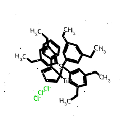 CCc1cc(CC)cc([Si](c2cc(CC)cc(CC)c2)(c2cc(CC)cc(CC)c2)[C]2([Ti+3])C=CC=C2c2ccccc2)c1.[Cl-].[Cl-].[Cl-]